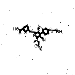 COC(=O)CN(C)c1nc(SCc2cccc(C(=O)O)c2)c(C#N)c(-c2ccc(OCCO)cc2)c1C#N